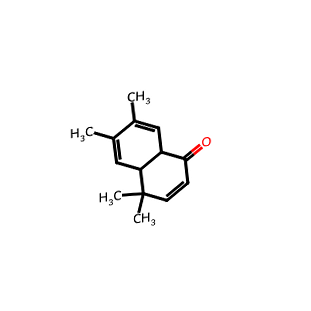 CC1=CC2C(=O)C=CC(C)(C)C2C=C1C